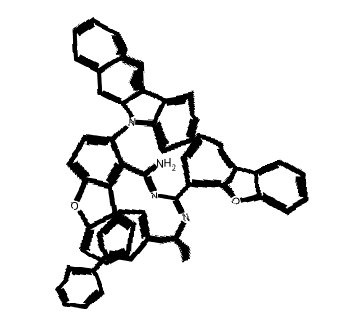 CC(/N=C(\N=C(/N)c1c(-n2c3ccccc3c3cc4ccccc4cc32)ccc2oc3ccccc3c12)c1cccc2c1oc1ccccc12)c1cccc(-c2ccccc2)c1